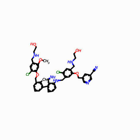 COc1cc(OCc2cccc(-c3cccc(NCc4cc(OCc5cncc(C#N)c5)c(CNCCO)cc4Cl)c3C=N)c2C)c(Cl)cc1CNCCO